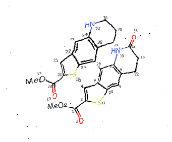 COC(=O)c1cc2cc3c(cc2s1)CCC(=O)N3.COC(=O)c1cc2cc3c(cc2s1)CCCN3